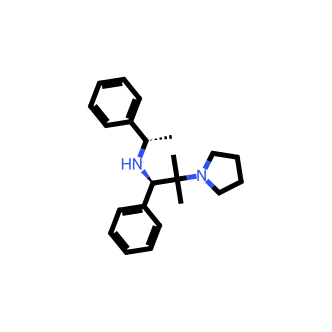 C[C@H](N[C@H](c1ccccc1)C(C)(C)N1CCCC1)c1ccccc1